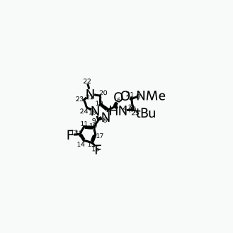 CNC(=O)[C@@H](NC(=O)c1nc(-c2cc(F)cc(F)c2)n2c1CN(C)CC2)C(C)(C)C